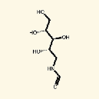 O=CNC[C@H](O)[C@H](O)[C@H](O)CO